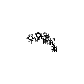 O=C(NCc1cnco1)N1C[C@H]2CN(c3cccc4c3cnn4-c3ccccc3F)C(=O)[C@H]2C1